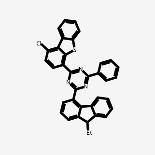 CCC1c2ccccc2-c2c(-c3nc(-c4ccccc4)nc(-c4ccc(Cl)c5c4sc4ccccc45)n3)cccc21